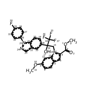 COC(=O)c1cc2ccc(OC)cc2n1CC(O)(c1ccc2c(cnn2-c2ccc(F)cc2)c1)C(F)(F)F